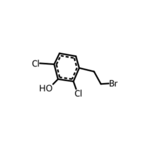 Oc1c(Cl)ccc(CCBr)c1Cl